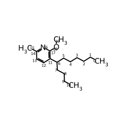 CCCCCCC(CCCC)c1ccc(C)nc1OC